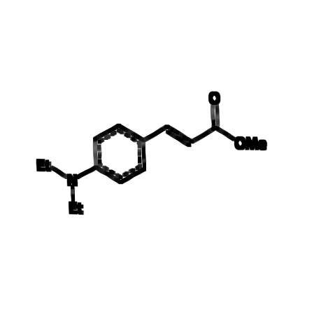 CCN(CC)c1ccc(/C=C/C(=O)OC)cc1